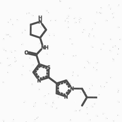 CC(C)Cn1cc(-c2ncc(C(=O)NC3CCNC3)s2)cn1